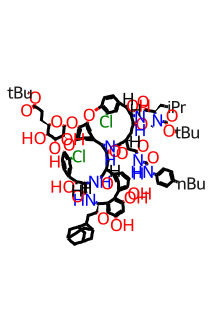 CCCCc1ccc(NC(=O)NC(=O)C[C@@H]2CC(=O)[C@H](NC(=O)[C@@H](CC(C)C)N(C)C(=O)OC(C)(C)C)[C@H](O)c3ccc(c(Cl)c3)Oc3cc4cc(c3O[C@@H]3O[C@H](CCC(=O)OC(C)(C)C)[C@@H](O)[C@H](O)[C@H]3O)Oc3ccc(cc3Cl)[C@@H](O)[C@@H]3NC(=O)[C@H](CC(=O)C4NC2=O)c2ccc(O)c(c2)-c2c(O)cc(O)cc2[C@@H](C(=O)CC2C4CC5CC(C4)CC2C5)NC3=O)cc1